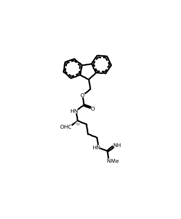 CNC(=N)NCCC[C@@H](C=O)NC(=O)OCC1c2ccccc2-c2ccccc21